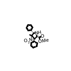 COC(=O)[C@H]1N[C@@H](c2ccccc2)[C@@](C)([N+](=O)[O-])[C@@H]1c1ccccc1